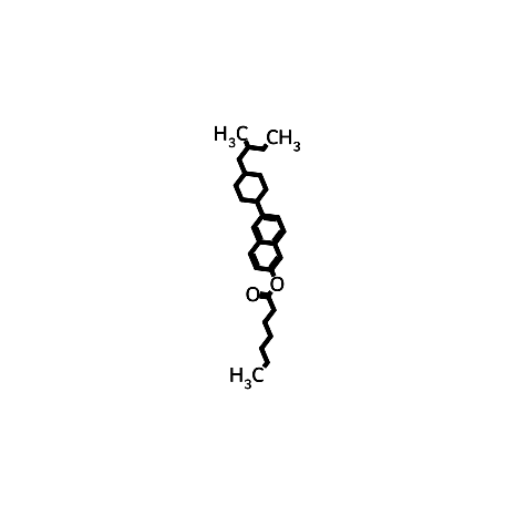 CCCCCCC(=O)Oc1ccc2cc(C3CCC(CC(C)CC)CC3)ccc2c1